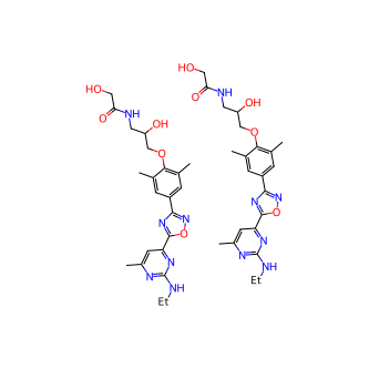 CCNc1nc(C)cc(-c2nc(-c3cc(C)c(OCC(O)CNC(=O)CO)c(C)c3)no2)n1.CCNc1nc(C)cc(-c2nc(-c3cc(C)c(OCC(O)CNC(=O)CO)c(C)c3)no2)n1